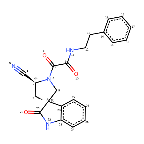 N#C[C@@H]1C[C@@]2(CN1C(=O)C(=O)NCCc1ccccc1)C(=O)Nc1ccccc12